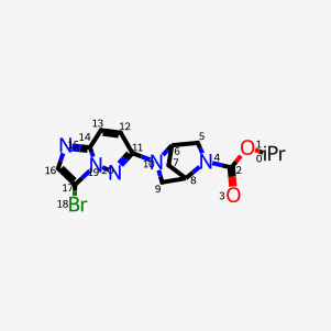 CC(C)OC(=O)N1CC2CC1CN2c1ccc2ncc(Br)n2n1